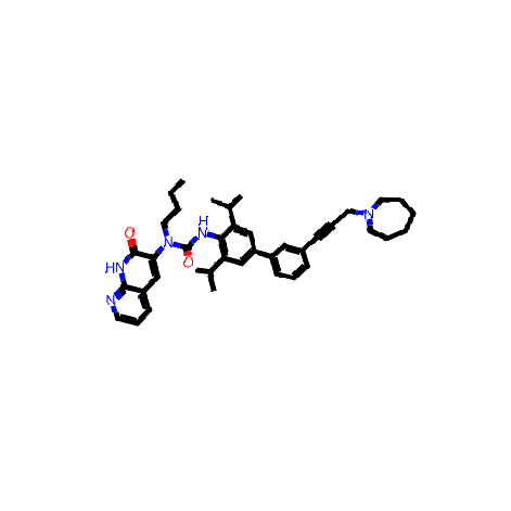 CCCCN(C(=O)Nc1c(C(C)C)cc(-c2cccc(C#CCN3CCCCCC3)c2)cc1C(C)C)c1cc2cccnc2[nH]c1=O